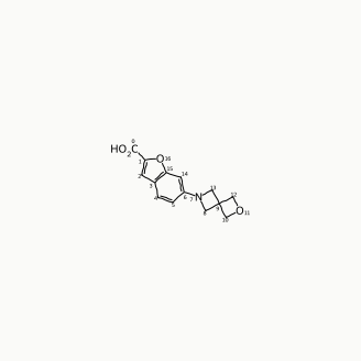 O=C(O)c1cc2ccc(N3CC4(COC4)C3)cc2o1